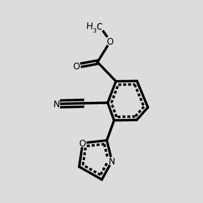 COC(=O)c1cccc(-c2ncco2)c1C#N